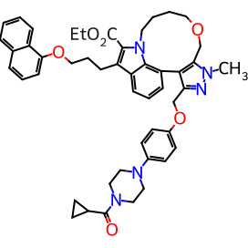 CCOC(=O)c1c(CCCOc2cccc3ccccc23)c2cccc3c2n1CCCCOCc1c-3c(COc2ccc(N3CCN(C(=O)C4CC4)CC3)cc2)nn1C